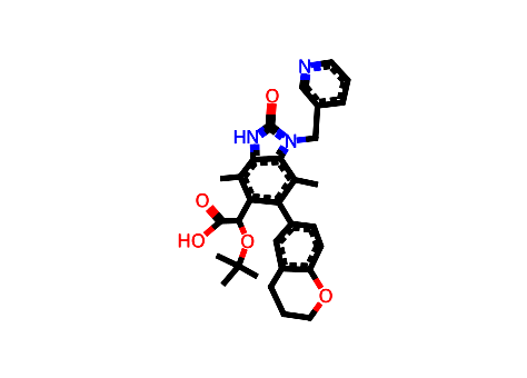 Cc1c(C(OC(C)(C)C)C(=O)O)c(-c2ccc3c(c2)CCCO3)c(C)c2c1[nH]c(=O)n2Cc1cccnc1